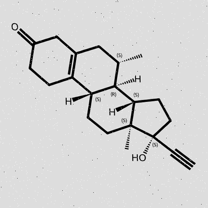 C#C[C@]1(O)CC[C@H]2[C@H]3[C@H](CC[C@@]21C)C1=C(CC(=O)CC1)C[C@@H]3C